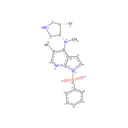 CC[C@H]1CNC[C@H]1N(C)c1c(C#N)cnc2c1ccn2S(=O)(=O)c1ccccc1